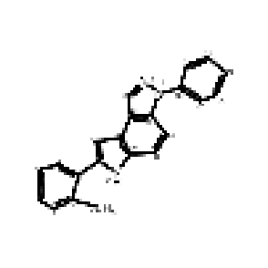 Cc1ccccc1-c1cc2c(ccc3c2cnn3-c2ccccc2)[nH]1